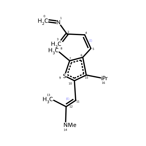 C=NC(=C)/C=C\c1c(C)sc(/C=C(\C)NC)c1C(C)C